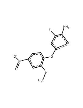 COc1cc([N+](=O)[O-])ccc1Oc1ccc(N)c(F)c1